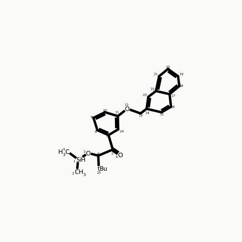 C[SiH](C)OC(C(=O)c1cccc(OCc2ccc3ccccc3c2)c1)C(C)(C)C